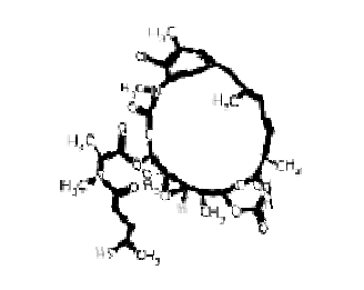 C/C1=C\C=C\[C@@H](C)[C@@]2(O)CC(OC(=O)N2)[C@@H](C)[C@@H]2O[C@@]2(C)[C@@H](OC(=O)[C@H](C)N(C)C(=O)CCC(C)S)CC(=O)N(C)c2cc(cc(C)c2Cl)C1